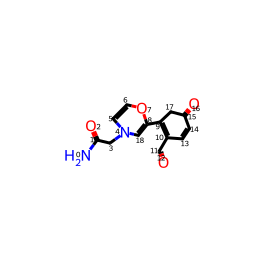 NC(=O)CN1C=COC(C2=C(C=O)C=CC(=O)C2)=C1